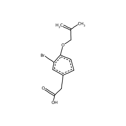 C=C(C)COc1ccc(CC(=O)O)cc1Br